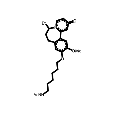 CCC1CCc2cc(OCCCCCCNC(C)=O)c(OC)cc2-c2cc(=O)ccn21